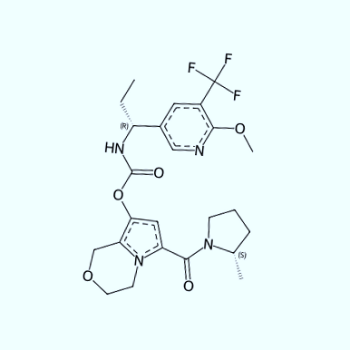 CC[C@@H](NC(=O)Oc1cc(C(=O)N2CCC[C@@H]2C)n2c1COCC2)c1cnc(OC)c(C(F)(F)F)c1